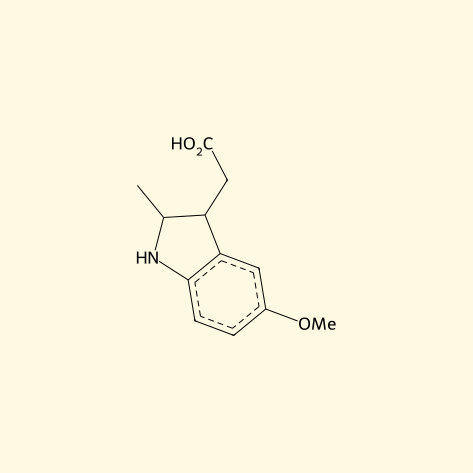 COc1ccc2c(c1)C(CC(=O)O)C(C)N2